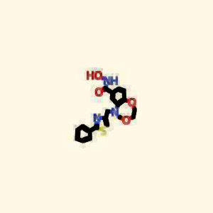 O=C(NO)c1ccc2c(c1)N(Cc1csc(-c3ccccc3)n1)COCCO2